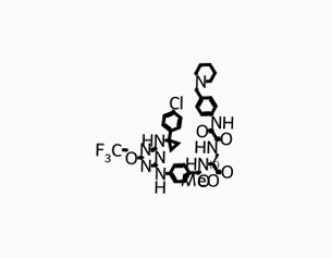 COC(=O)[C@H](CNC(=O)C(=O)Nc1ccc(CN2CCCCC2)cc1)NC(=O)c1ccc(Nc2nc(NC3(c4ccc(Cl)cc4)CC3)nc(OCC(F)(F)F)n2)cc1